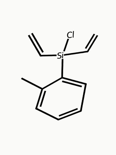 C=C[Si](Cl)(C=C)c1ccccc1C